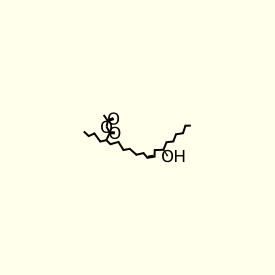 CCCCCC[C@@H](O)C/C=C\CCCCCCC(CCCC)C(=O)OC(C)=O